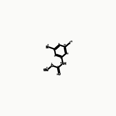 CC(C)(C)OC(=O)Nc1cc(Br)cc(I)c1